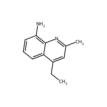 CCc1cc(C)nc2c(N)cccc12